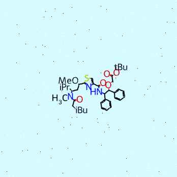 CC[C@H](C)CC(=O)N(C)[C@H](C[C@@H](OC)c1nc(C(=O)NC(c2ccccc2)[C@@H](OCC(=O)OC(C)(C)C)c2ccccc2)cs1)C(C)C